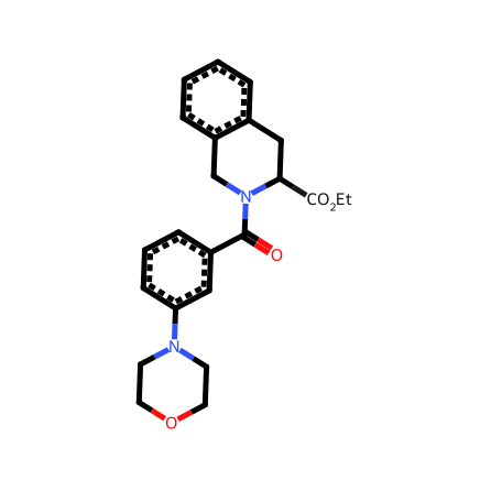 CCOC(=O)C1Cc2ccccc2CN1C(=O)c1cccc(N2CCOCC2)c1